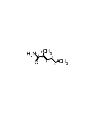 CCC/C=C(\C)C(N)=O